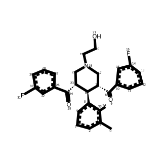 Cc1cccc([C@@H]2[C@@H](C(=O)c3cccc(F)c3)CN(CCO)C[C@H]2C(=O)c2cccc(F)c2)c1C